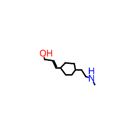 CNCCC1CCC(C=CCO)CC1